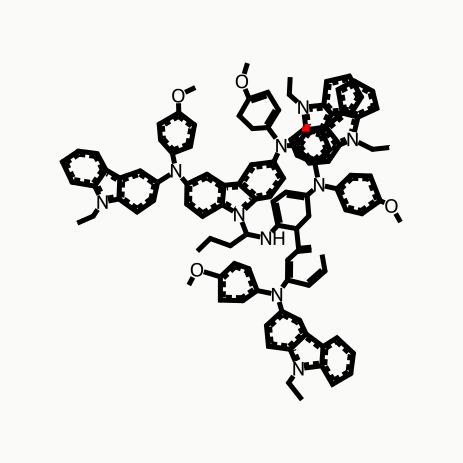 C=C(/C=C(\C=C/C)N(c1ccc(OC)cc1)c1ccc2c(c1)c1ccccc1n2CC)C1CC(N(c2ccc(OC)cc2)c2ccc3c(c2)c2ccccc2n3CC)=CC=C1NC(CCC)n1c2ccc(N(C3=CC=C(OC)CC3)c3ccc4c(c3)c3ccccc3n4CC)cc2c2cc(N(c3ccc(OC)cc3)c3ccc4c(c3)c3ccccc3n4CC)ccc21